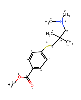 COC(=O)c1ccc(SCC(C)(C)CN(C)C)cc1